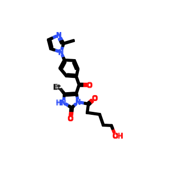 CCc1[nH]c(=O)n(C(=O)CCCCO)c1C(=O)c1ccc(-n2ccnc2C)cc1